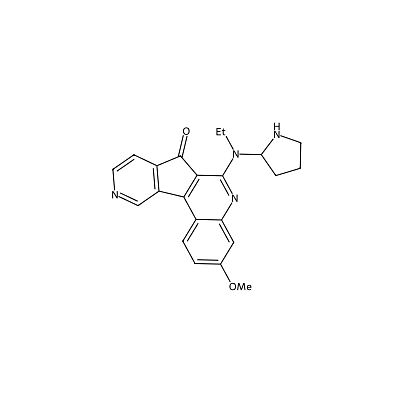 CCN(c1nc2cc(OC)ccc2c2c1C(=O)c1ccncc1-2)C1CCCN1